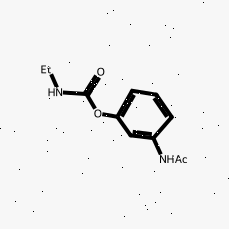 CCNC(=O)Oc1cccc(NC(C)=O)c1